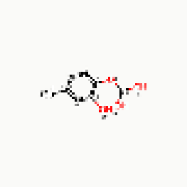 CC(C)(C)c1ccc(OB(O)O)c(O)c1